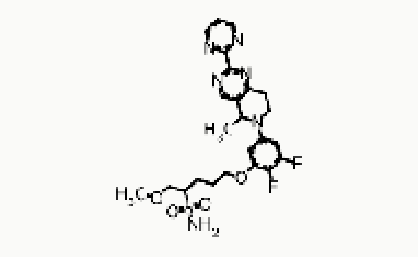 COCC(CCCOc1cc(N2CCc3nc(-c4ncccn4)ncc3C2C)cc(F)c1F)S(N)(=O)=O